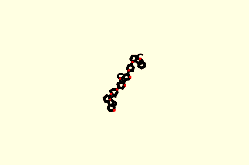 c1ccc2c(c1)sc1c(-c3ccc(-c4ccc5c(c4)sc4cc(-c6ccc(-c7cccc8sc9ccccc9c78)cc6)ccc45)cc3)cccc12